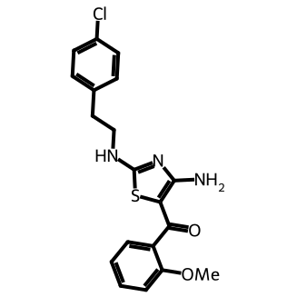 COc1ccccc1C(=O)c1sc(NCCc2ccc(Cl)cc2)nc1N